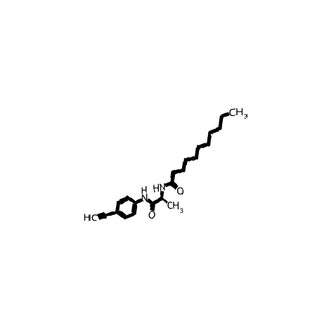 C#Cc1ccc(NC(=O)[C@H](C)NC(=O)CCCCCCCCCC)cc1